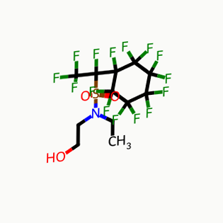 CCN(CCO)S(=O)(=O)C(F)(C(F)(F)F)C1(F)C(F)(F)C(F)(F)C(F)(F)C(F)(F)C1(F)F